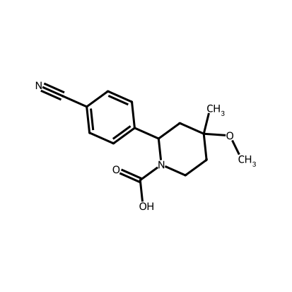 COC1(C)CCN(C(=O)O)C(c2ccc(C#N)cc2)C1